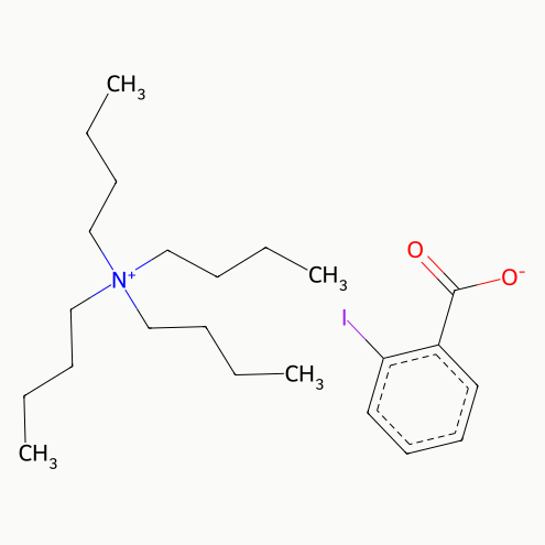 CCCC[N+](CCCC)(CCCC)CCCC.O=C([O-])c1ccccc1I